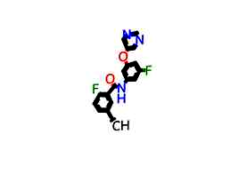 C#Cc1ccc(F)c(C(=O)Nc2cc(F)cc(Oc3cncnc3)c2)c1